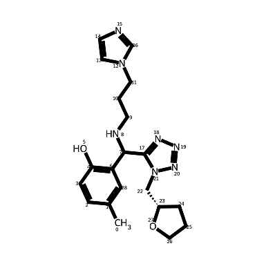 Cc1ccc(O)c(C(NCCCn2ccnc2)c2nnnn2C[C@@H]2CCCO2)c1